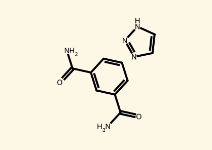 NC(=O)c1cccc(C(N)=O)c1.c1c[nH]nn1